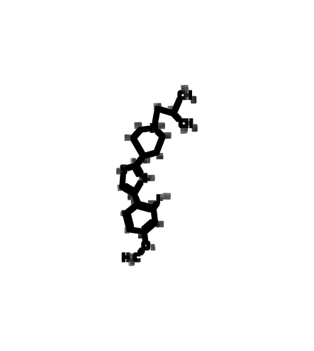 COc1ccc(-c2csc(C3CCN(CC(C)C)CC3)n2)c(F)c1